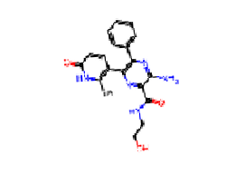 CC(C)c1[nH]c(=O)ccc1-c1nc(C(=O)NCCO)c(N)nc1-c1ccccc1